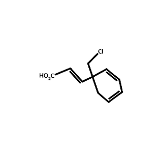 O=C(O)C=CC1(CCl)C=CC=CC1